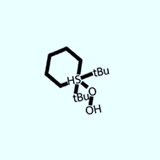 CC(C)(C)[SH]1(OO)(C(C)(C)C)CCCCC1